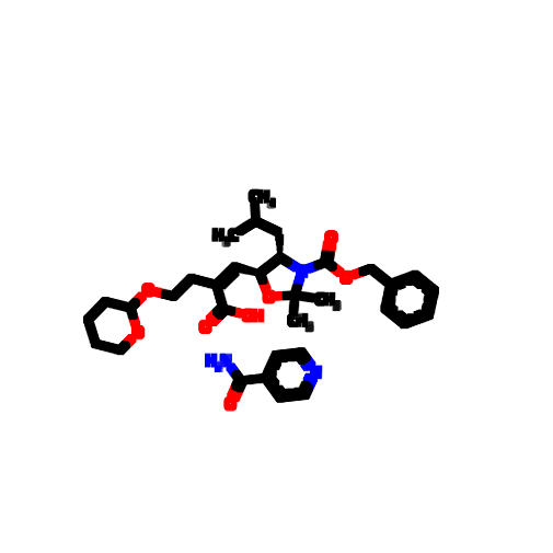 CC(C)C[C@H]1[C@H](C=C(CCOC2CCCCO2)C(=O)O)OC(C)(C)N1C(=O)OCc1ccccc1.NC(=O)c1ccncc1